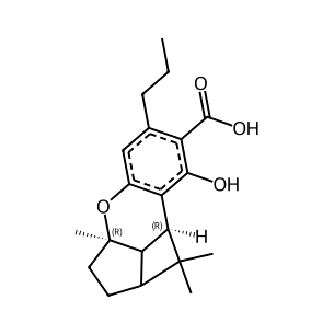 CCCc1cc2c(c(O)c1C(=O)O)[C@@H]1C3C(CC[C@@]3(C)O2)C1(C)C